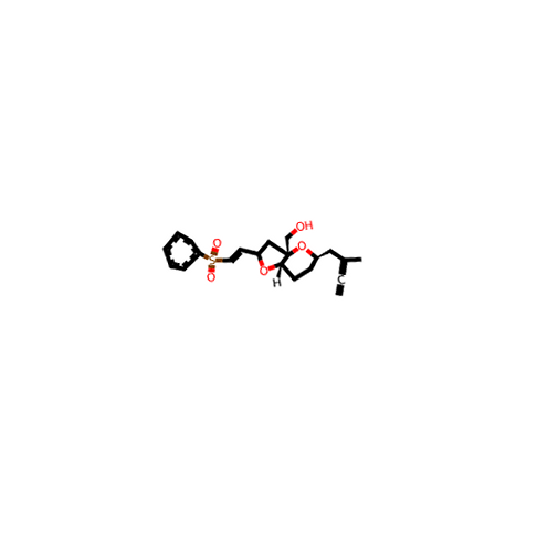 C=C=C(C)C[C@H]1CC[C@@H]2OC(/C=C/S(=O)(=O)c3ccccc3)C[C@]2(CO)O1